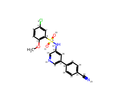 COc1ccc(Cl)cc1S(=O)(=O)Nc1cncc(-c2ccc(C#N)cc2)c1